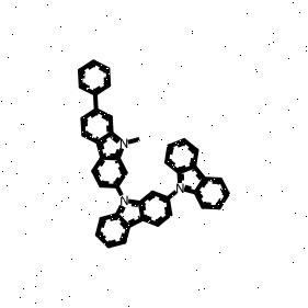 Cn1c2cc(-c3ccccc3)ccc2c2ccc(-n3c4ccccc4c4ccc(-n5c6ccccc6c6ccccc65)cc43)cc21